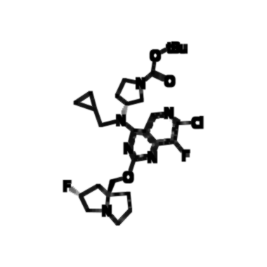 CC(C)(C)OC(=O)N1CC[C@@H](N(CC2CC2)c2nc(OC[C@@]34CCCN3C[C@H](F)C4)nc3c(F)c(Cl)ncc23)C1